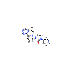 CC(C)n1cnnc1-c1cccc(N2CCN(c3ccncc3)C2=O)n1